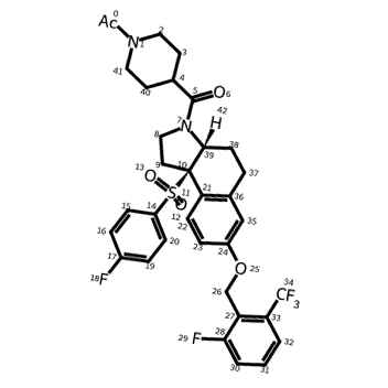 CC(=O)N1CCC(C(=O)N2CC[C@@]3(S(=O)(=O)c4ccc(F)cc4)c4ccc(OCc5c(F)cccc5C(F)(F)F)cc4CC[C@@H]23)CC1